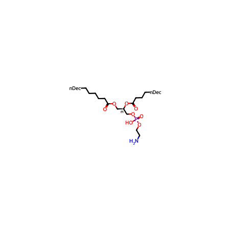 CCCCCCCCCCCCCCCC(=O)OC[C@H](COP(=O)(O)OCCN)OC(=O)CCCCCCCCCCCCC